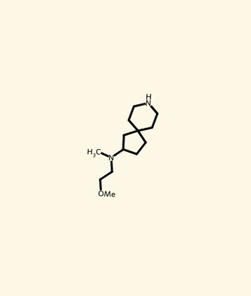 COCCN(C)C1CCC2(CCNCC2)C1